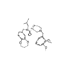 COc1cccc(CN2CCO[C@@H](C(=O)N(Cc3ccc4c(c3)OCCCO4)CC(C)C)C2)c1OC